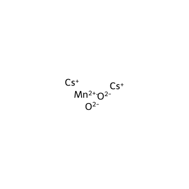 [Cs+].[Cs+].[Mn+2].[O-2].[O-2]